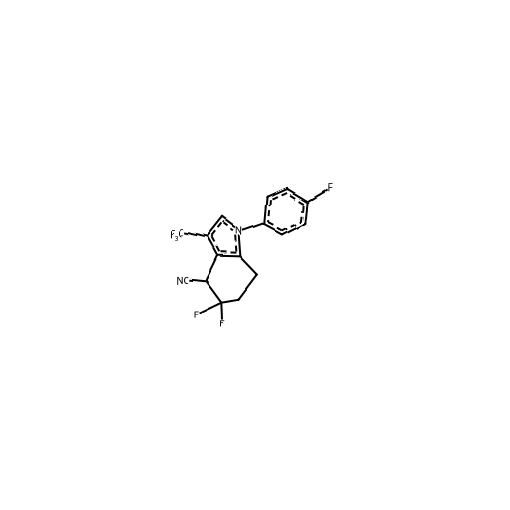 N#CC1c2c(C(F)(F)F)cn(-c3ccc(F)cc3)c2CCC1(F)F